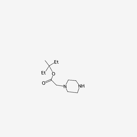 CCC(C)(CC)OC(=O)CN1CCNCC1